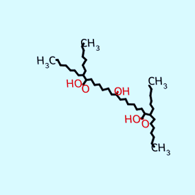 CCCCCCCC(CCCCCCC)C(CCCCCCC(O)CCCCCCC(C(=O)O)C(CCCCCCC)CCCCCCC)C(=O)O